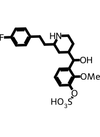 COc1c(OS(=O)(=O)O)cccc1C(O)C1CCNC(CCc2ccc(F)cc2)C1